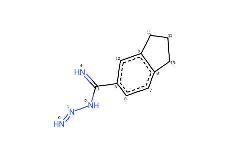 N=NNC(=N)c1ccc2c(c1)CCC2